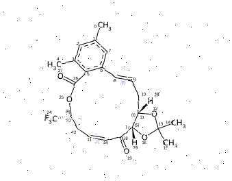 Cc1cc(C)c2c(c1)/C=C/C[C@@H]1OC(C)(C)O[C@@H]1C(=O)/C=C\C[C@H](C(F)(F)F)OC2=O